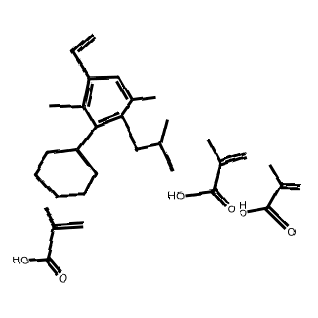 C=C(C)C(=O)O.C=C(C)C(=O)O.C=C(C)C(=O)O.C=Cc1cc(C)c(CC(C)C)c(C2CCCCC2)c1C